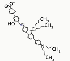 CCCCCCC1(CCCCCC)c2cc(/N=C/c3ccc(-c4ccc([N+](=O)[O-])cc4)cc3O)ccc2-c2ccc(-c3ccc(N(CCCC)CCCC)cc3)cc21